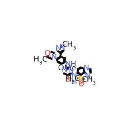 COc1cc(N2CCO[C@@H](C)C2)c(-c2cnn(C)c2)cc1Nc1ncc(Br)c(Nc2ccc3nccnc3c2P(C)(C)=O)n1